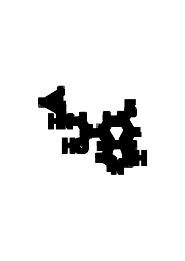 O[C@@H](CNC1CC1)c1cc(F)cc2[nH]ncc12